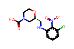 O=C(O)N1CCO[C@H](CNc2cccc(Cl)c2[N+](=O)[O-])C1